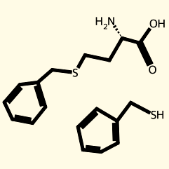 N[C@@H](CCSCc1ccccc1)C(=O)O.SCc1ccccc1